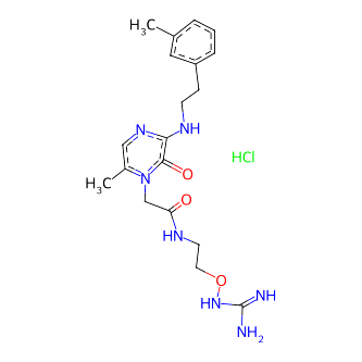 Cc1cccc(CCNc2ncc(C)n(CC(=O)NCCONC(=N)N)c2=O)c1.Cl